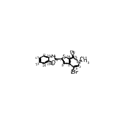 Cn1cc(Br)c2cc(-c3nc4ccccc4o3)sc2c1=O